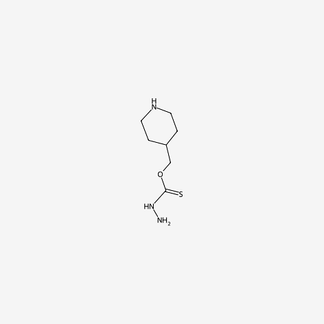 NNC(=S)OCC1CCNCC1